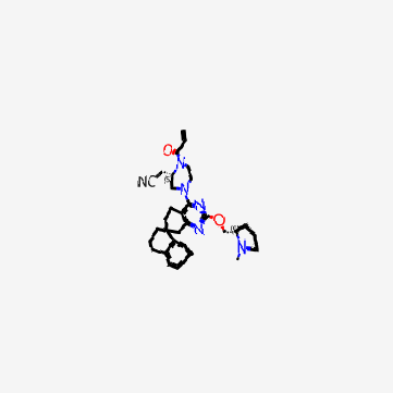 C=CC(=O)N1CCN(c2nc(OC[C@@H]3CCCN3C)nc3c2CCC2(CCCc4ccccc42)C3)C[C@@H]1CC#N